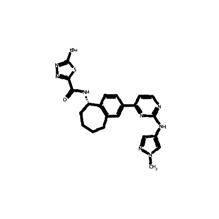 Cn1cc(Nc2nccc(-c3ccc4c(c3)CCCC[C@@H]4NC(=O)c3nnc(C(C)(C)C)s3)n2)cn1